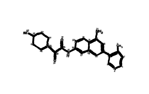 Cc1ccncc1-c1cc(N)c2cnc(NC(=O)C(=O)N3CCC(C#N)CC3)cc2c1